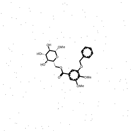 COc1cc(C(=O)OC[C@H]2O[C@@H](OC)[C@H](O)[C@@H](O)[C@@H]2O)cc(OCc2ccccc2)c1OC